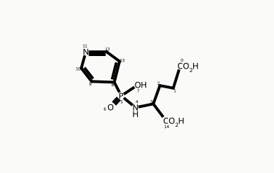 O=C(O)CCC(NP(=O)(O)c1ccncc1)C(=O)O